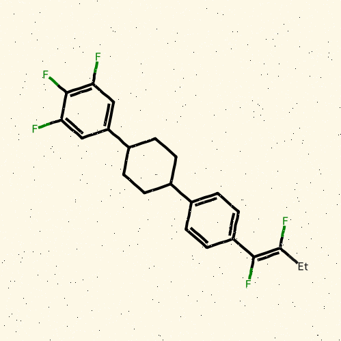 CC/C(F)=C(\F)c1ccc(C2CCC(c3cc(F)c(F)c(F)c3)CC2)cc1